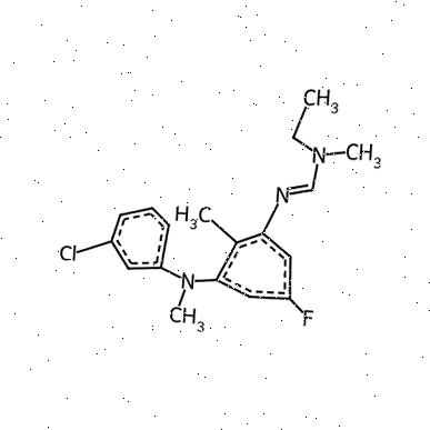 CCN(C)C=Nc1cc(F)cc(N(C)c2cccc(Cl)c2)c1C